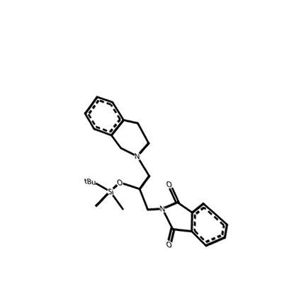 CC(C)(C)[Si](C)(C)OC(CN1CCc2ccccc2C1)CN1C(=O)c2ccccc2C1=O